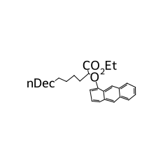 CCCCCCCCCCCCCCC(Oc1cccc2cc3ccccc3cc12)C(=O)OCC